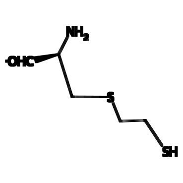 N[C@H]([C]=O)CSCCS